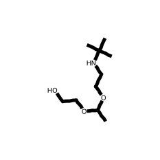 CC(OCCO)OCCNC(C)(C)C